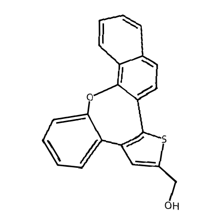 OCc1cc2c(s1)-c1ccc3ccccc3c1Oc1ccccc1-2